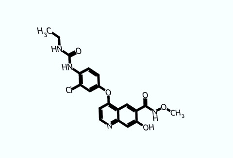 CCNC(=O)Nc1ccc(Oc2ccnc3cc(O)c(C(=O)NOC)cc23)cc1Cl